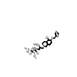 CC(C)(C)OC(=O)NCC(O)CN1CCc2c(ccc(OCc3cnco3)c2Cl)C1